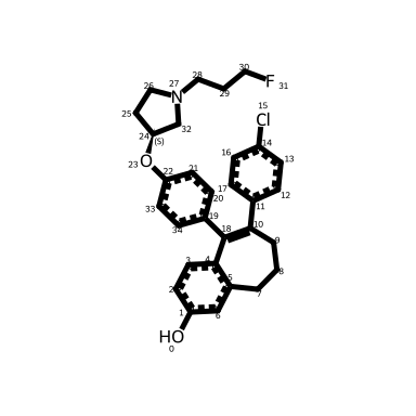 Oc1ccc2c(c1)CCCC(c1ccc(Cl)cc1)=C2c1ccc(O[C@H]2CCN(CCCF)C2)cc1